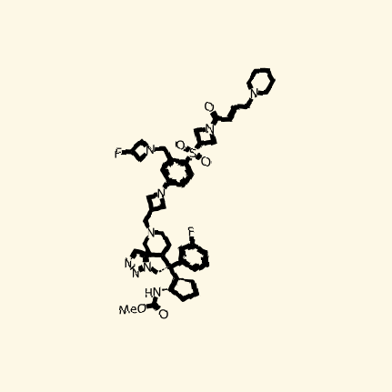 COC(=O)N[C@H]1CCC[C@@H]1[C@](Cn1ccnn1)(c1cccc(F)c1)C1CCN(CC2CN(c3ccc(S(=O)(=O)C4CN(C(=O)/C=C/CN5CCCCC5)C4)c(CN4CC(F)C4)c3)C2)CC1